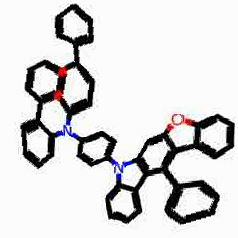 c1ccc(-c2ccc(N(c3ccc(-n4c5ccccc5c5c(-c6ccccc6)c6c(cc54)oc4ccccc46)cc3)c3ccccc3-c3ccccc3)cc2)cc1